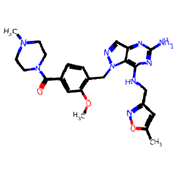 COc1cc(C(=O)N2CCN(C)CC2)ccc1Cn1ncc2nc(N)nc(NCc3cc(C)on3)c21